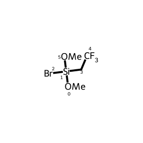 CO[Si](Br)(CC(F)(F)F)OC